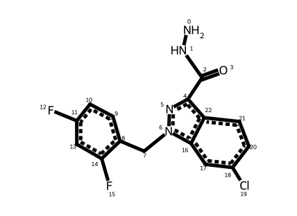 NNC(=O)c1nn(Cc2ccc(F)cc2F)c2cc(Cl)ccc12